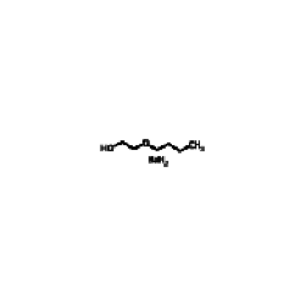 CCCCOCCO.[BaH2]